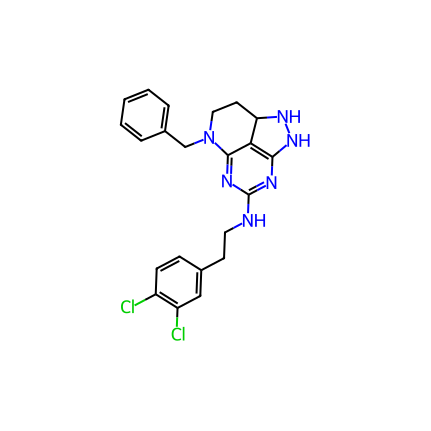 Clc1ccc(CCNc2nc3c4c(n2)N(Cc2ccccc2)CCC4NN3)cc1Cl